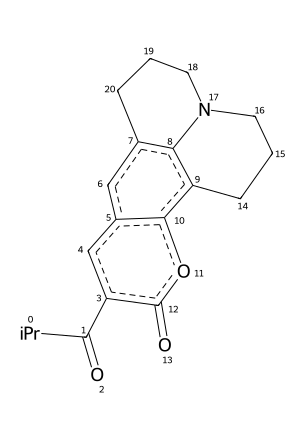 CC(C)C(=O)c1cc2cc3c4c(c2oc1=O)CCCN4CCC3